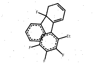 CCc1c(C2=CC=CCC2(F)c2ccccc2)cc(F)c(F)c1F